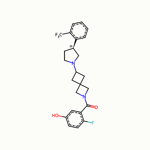 O=C(c1cc(O)ccc1F)N1CC2(CC(N3CC[C@@H](c4ccccc4C(F)(F)F)C3)C2)C1